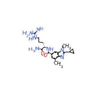 Cc1cc(C(=O)N[C@@H](CCCNC(=N)N)C(N)=O)cc2c1nc(C1CC1)n2C